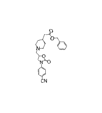 N#Cc1ccc(N2CC(CN3CCC(CC(=O)OCc4ccccc4)CC3)OC2=O)cc1